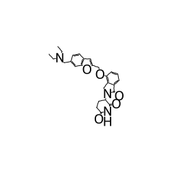 CCN(CC)Cc1ccc2cc(COc3cccc4c3CN(C3CCC(=O)NC3=O)C4=O)oc2c1